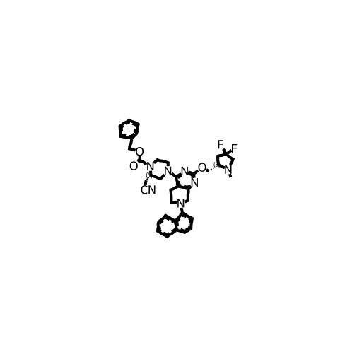 CN1CC(F)(F)C[C@H]1COc1nc2c(c(N3CCN(C(=O)OCc4ccccc4)[C@@H](CC#N)C3)n1)CCN(c1cccc3ccccc13)C2